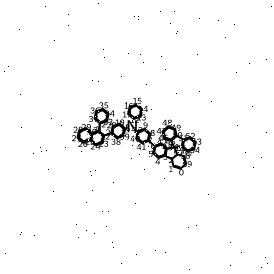 C1=CC2c3ccc(-c4ccc(N(c5ccccc5)c5ccc(-c6ccc7ccccc7c6-c6ccccc6)cc5)cc4)cc3C3(c4ccccc4-c4ccccc43)C2C=C1